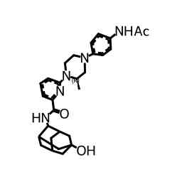 CC(=O)Nc1ccc(N2CCN(c3cccc(C(=O)NC4C5CC6CC4CC(O)(C6)C5)n3)[C@H](C)C2)cc1